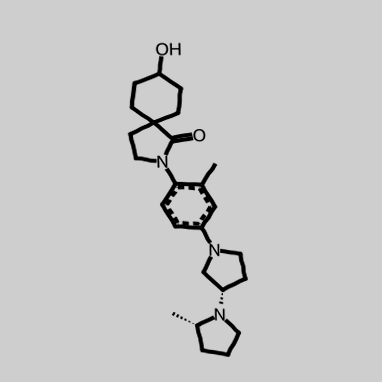 Cc1cc(N2CC[C@H](N3CCC[C@@H]3C)C2)ccc1N1CCC2(CCC(O)CC2)C1=O